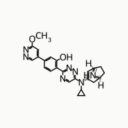 COc1cc(-c2ccc(-c3ncc(N(C4CC4)[C@@H]4C[C@H]5CC[C@@H](C4)N5)nn3)c(O)c2)cnn1